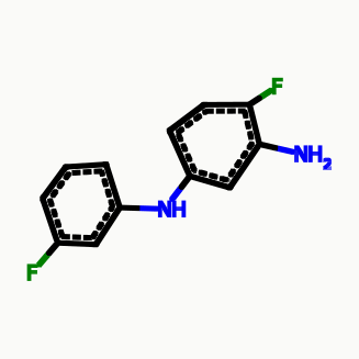 Nc1cc(Nc2cccc(F)c2)ccc1F